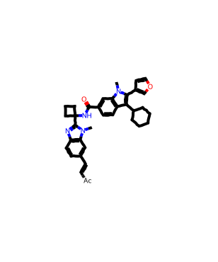 CC(=O)/C=C/c1ccc2nc(C3(NC(=O)c4ccc5c(C6CCCCC6)c(-c6ccoc6)n(C)c5c4)CCC3)n(C)c2c1